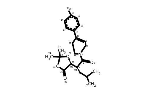 CC(C)C[C@H](C(=O)N1CC=C(c2ccc(F)cc2)CC1)[C@@H]1OC(C)(C)OC1=O